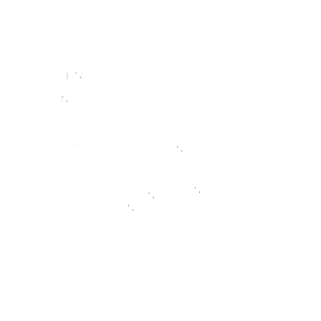 O=c1[nH][nH]c2cc(CI)c(-c3cc4c(c(Nc5n[nH]c6ccccc56)n3)CCCC4)cc12